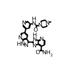 CN1CCN(C(=O)Nc2cncc(-c3cnc4[nH]nc(-c5nc6c(C(N)=O)ccnc6[nH]5)c4c3)c2)CC1